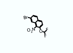 O=[N+]([O-])c1c(OC(F)F)ccc2ccc(Br)cc12